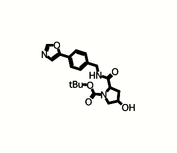 CC(C)(C)OC(=O)N1CC(O)CC1C(=O)NCc1ccc(-c2cnco2)cc1